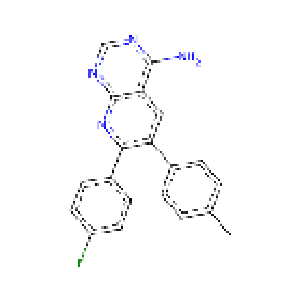 Cc1ccc(-c2cc3c(N)ncnc3nc2-c2ccc(F)cc2)cc1